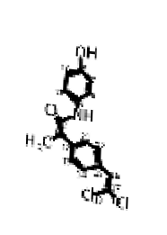 CC(C(=O)Nc1ccc(O)cc1)c1ccc(C=C(Cl)Cl)cc1